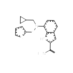 NC(=S)c1cc2cccc(N(CC3CC3)Sc3cccs3)c2[nH]1